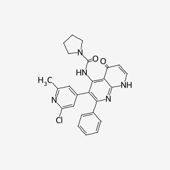 Cc1cc(-c2c(-c3ccccc3)nc3[nH]ccc(=O)c3c2NC(=O)N2CCCC2)cc(Cl)n1